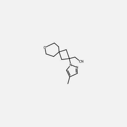 Cc1cnn(C2(CC#N)CC3(CCOCC3)C2)c1